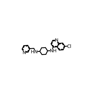 Clc1ccc2c(NC3CCC(NCc4cccnc4)CC3)ccnc2c1